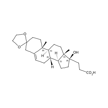 C[C@]12CCC3(CC1=CC[C@@H]1[C@@H]2CC[C@@]2(C)[C@H]1CC[C@@]2(O)CCC(=O)O)OCCO3